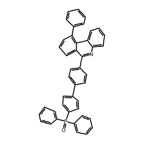 O=P(c1ccccc1)(c1ccccc1)c1ccc(-c2ccc(-c3nc4ccccc4c4c(-c5ccccc5)cccc34)cc2)cc1